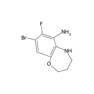 Nc1c(F)c(Br)cc2c1NCCCO2